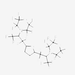 FC(F)(F)C(N1C(F)(F)C(F)(F)OC(F)(F)C1(F)F)C(F)(F)C1CCC(C(F)(F)C(N2C(F)(F)C(F)(F)OC(F)(F)C2(F)F)C(F)(F)F)O1